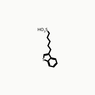 O=S(=O)(O)CCCCCc1csc2ccccc12